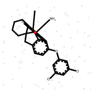 CN1C(=O)C2(N=C1N)c1cc(Oc3cc(Cl)cc(Cl)c3)ccc1CC21CCCCC1